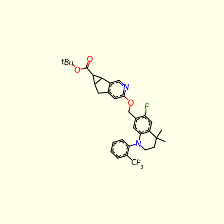 CC(C)(C)OC(=O)C1C2Cc3cc(OCc4cc5c(cc4F)C(C)(C)CCN5c4ccccc4C(F)(F)F)ncc3C21